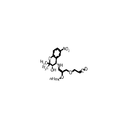 CCCCCCO/C(=C/N[C@H]1c2cc([N+](=O)[O-])ccc2OC(C)(C)[C@@H]1O)COCC=C=O